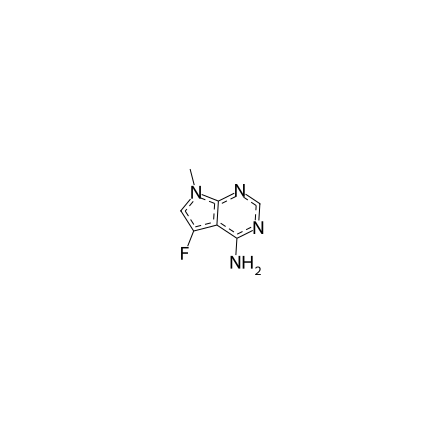 Cn1cc(F)c2c(N)ncnc21